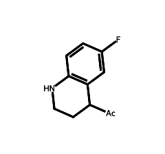 CC(=O)C1CCNc2ccc(F)cc21